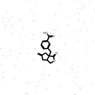 C=C1CC2COC(=O)C2(Cc2cccc(C(=O)O)c2)C1